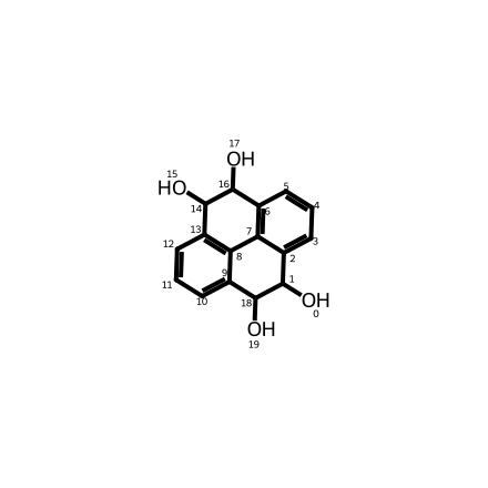 OC1c2cccc3c2-c2c(cccc2C(O)C3O)C1O